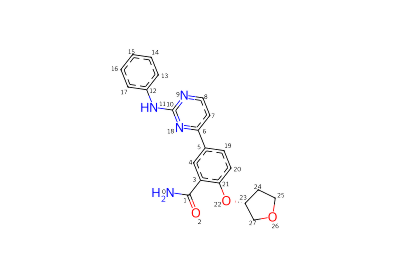 NC(=O)c1cc(-c2ccnc(Nc3ccccc3)n2)ccc1O[C@@H]1CCOC1